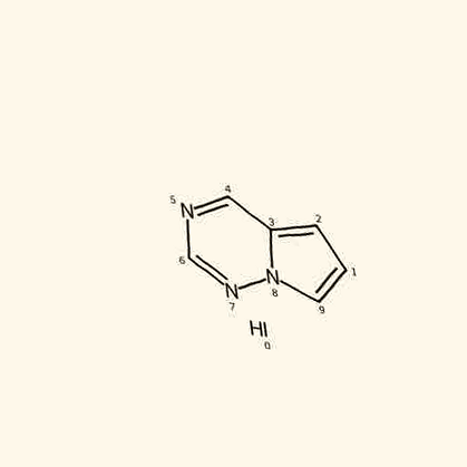 I.c1cc2cncnn2c1